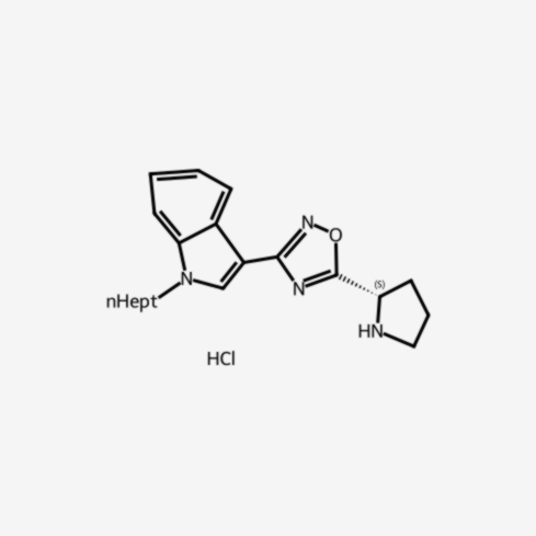 CCCCCCCn1cc(-c2noc([C@@H]3CCCN3)n2)c2ccccc21.Cl